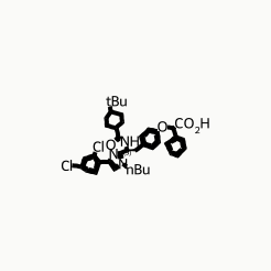 CCCCn1cc(-c2ccc(Cl)cc2Cl)nc1[C@H](Cc1ccc(OC(C(=O)O)c2ccccc2)cc1)NC(=O)C1CCC(C(C)(C)C)CC1